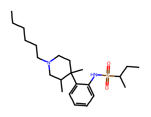 CCCCCCN1CCC(C)(c2ccccc2NS(=O)(=O)C(C)CC)C(C)C1